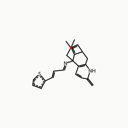 C=C1C=CC2=C(CC3C=C(C)CC2(/N=C/C=C/c2cccs2)/C3=C/C)N1